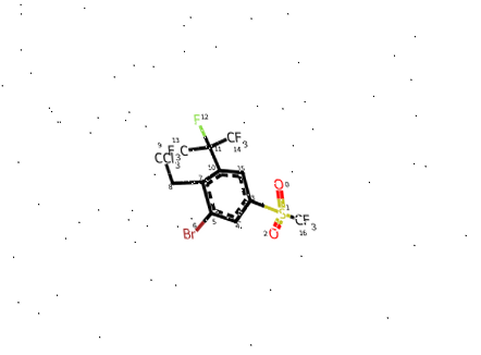 O=S(=O)(c1[c]c(Br)c(CC(Cl)(Cl)Cl)c(C(F)(C(F)(F)F)C(F)(F)F)c1)C(F)(F)F